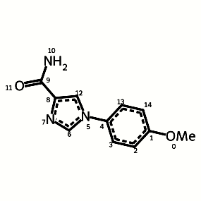 COc1ccc(-n2cnc(C(N)=O)c2)cc1